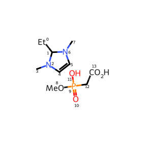 CCC1N(C)C=CN1C.COP(=O)(O)CC(=O)O